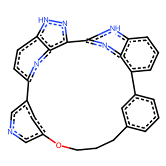 c1cc2cc(c1)-c1cccc3[nH]c(nc13)-c1n[nH]c3ccc(nc13)-c1cncc(c1)OCCC2